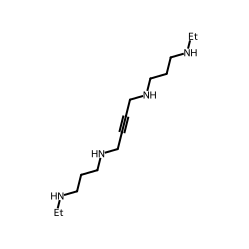 CCNCCCNCC#CCNCCCNCC